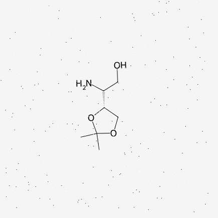 CC1(C)OC[C@@H](C(N)CO)O1